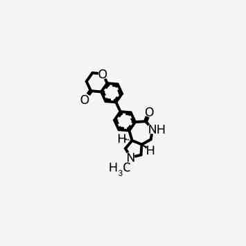 CN1C[C@H]2CNC(=O)c3cc(-c4ccc5c(c4)C(=O)CCO5)ccc3[C@@H]2C1